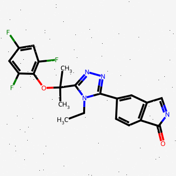 CCn1c(-c2ccc3c(c2)C=NC3=O)nnc1C(C)(C)Oc1c(F)cc(F)cc1F